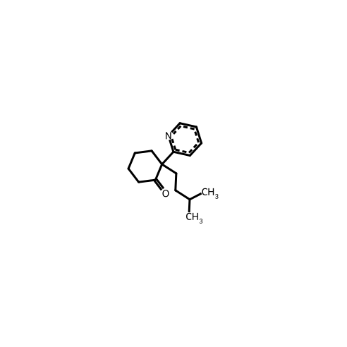 CC(C)CCC1(c2ccccn2)CCCCC1=O